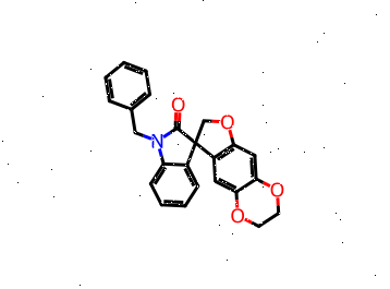 O=C1N(Cc2ccccc2)c2ccccc2C12COc1cc3c(cc12)OCCO3